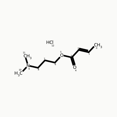 CC=CC(=O)OCCCN(C)C.Cl